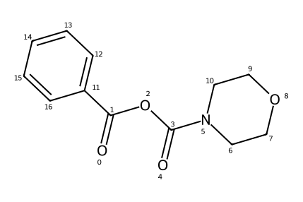 O=C(OC(=O)N1CCOCC1)c1ccccc1